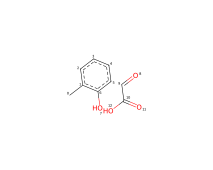 Cc1ccccc1O.O=CC(=O)O